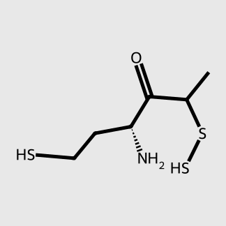 CC(SS)C(=O)[C@H](N)CCS